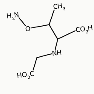 CC(ON)C(NCC(=O)O)C(=O)O